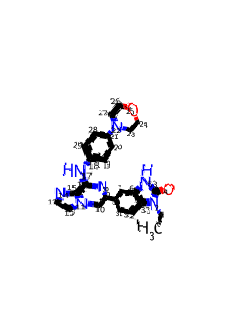 CCn1c(=O)[nH]c2cc(-c3cn4ccnc4c(Nc4ccc(N5CCOCC5)cc4)n3)ccc21